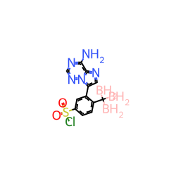 BC(B)(B)c1ccc(S(=O)(=O)Cl)cc1-c1cnc2c(N)ncnn12